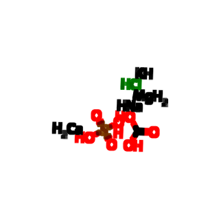 Cl.O=C(O)O.O=S(=O)(O)O.[CaH2].[KH].[MgH2].[NaH]